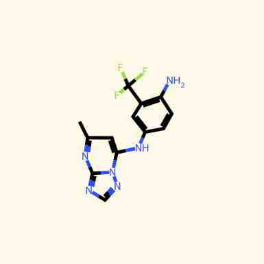 Cc1cc(Nc2ccc(N)c(C(F)(F)F)c2)n2ncnc2n1